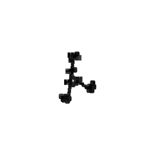 O=C(CCCCCCC(=O)ON1C(=O)CCC1=O)NCCN(CCNC(=O)CCCCCCC(=O)ON1C(=O)CCC1=O)CCNC(=O)CCCCC1SCC2NC(=O)NC21